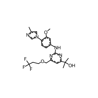 COc1cc(Nc2nc(COCCC(F)(F)F)cc(C(C)(C)O)n2)ccc1-n1cnc(C)c1